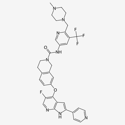 CN1CCN(Cc2ncc(NC(=O)N3CCc4ccc(Oc5c(F)cnc6[nH]c(-c7ccncc7)cc56)cc4C3)cc2C(F)(F)F)CC1